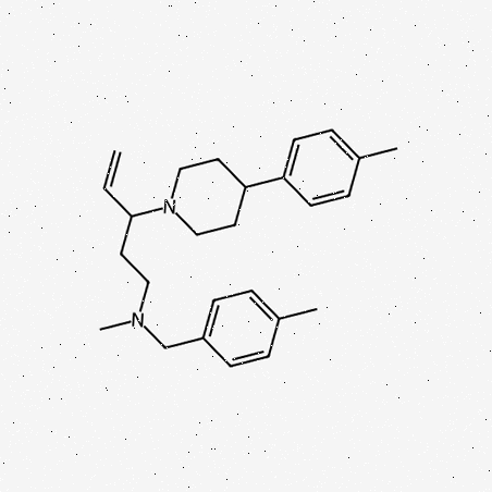 C=CC(CCN(C)Cc1ccc(C)cc1)N1CCC(c2ccc(C)cc2)CC1